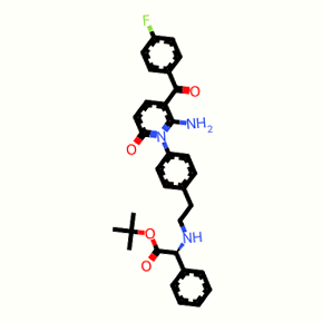 CC(C)(C)OC(=O)[C@@H](NCCc1ccc(-n2c(N)c(C(=O)c3ccc(F)cc3)ccc2=O)cc1)c1ccccc1